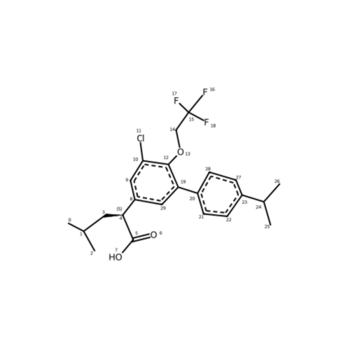 CC(C)C[C@H](C(=O)O)c1cc(Cl)c(OCC(F)(F)F)c(-c2ccc(C(C)C)cc2)c1